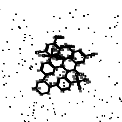 COc1cc(Cl)cc(C(C)N(c2cc(F)ccc2S(C)(=O)=O)N(c2cc(N3CCNCC3)ccc2S(C)(=O)=O)C(C)c2cc(Cl)cc(OC)c2OC)c1OC